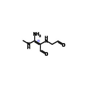 CN/C(N)=C(\C=O)NCC=O